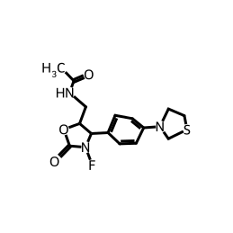 CC(=O)NCC1OC(=O)N(F)C1c1ccc(N2CCSC2)cc1